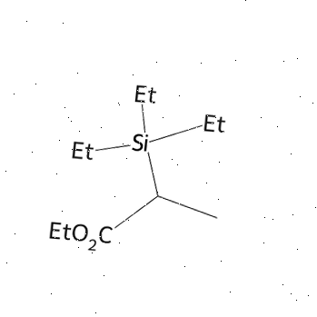 CCOC(=O)C(C)[Si](CC)(CC)CC